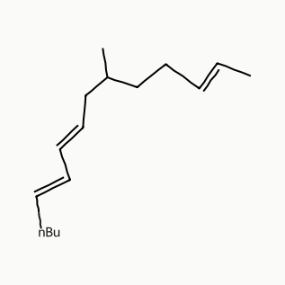 CC=CCCC(C)CC=CC=CCCCC